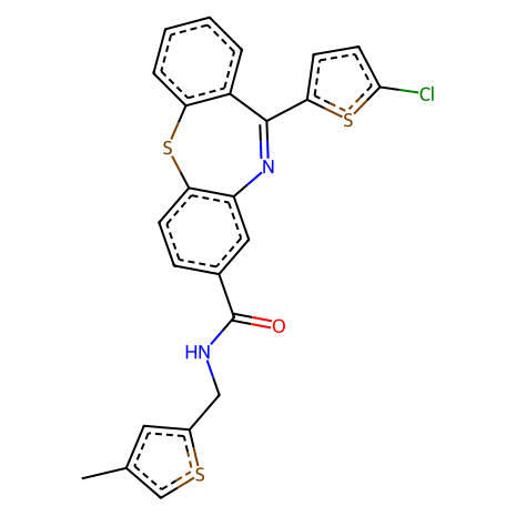 Cc1csc(CNC(=O)c2ccc3c(c2)N=C(c2ccc(Cl)s2)c2ccccc2S3)c1